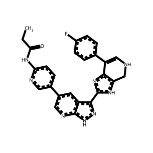 CCC(=O)Nc1ccc(-c2cnc3[nH]nc(-c4nc5c([nH]4)CNC=C5c4ccc(F)cc4)c3c2)cn1